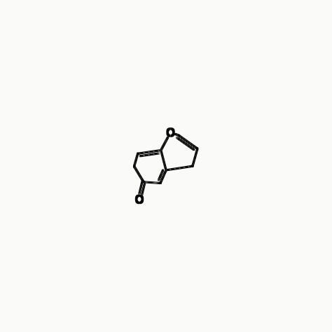 O=C1C=C2CC=COC2=CC1